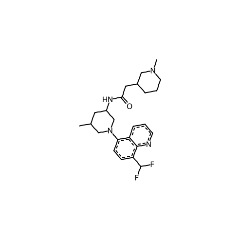 CC1CC(NC(=O)CC2CCCN(C)C2)CN(c2ccc(C(F)F)c3ncccc23)C1